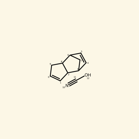 C1=CC2C3C=CC(C3)C2C1.N#CO